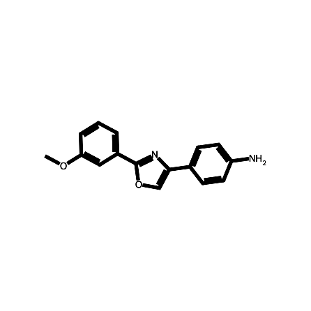 COc1cccc(-c2nc(-c3ccc(N)cc3)co2)c1